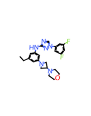 CCc1cc(Nc2ncn(-c3cc(F)cc(F)c3)n2)cc(N2CC(N3CCOCC3)C2)c1